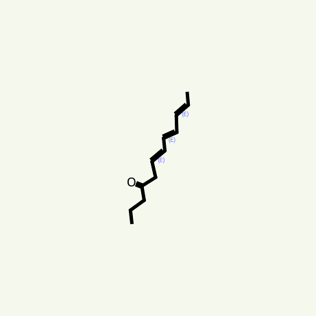 C/C=C/C=C/C=C/CC(=O)CCC